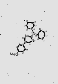 COc1ccc(-c2cnc(N(c3ccccc3)c3ccccc3)nc2)cc1